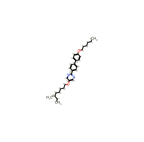 CCCCCCOc1ccc(-c2ccc(-c3ncc(OCCCCC[C@@H](C)CC)cn3)cc2)cc1